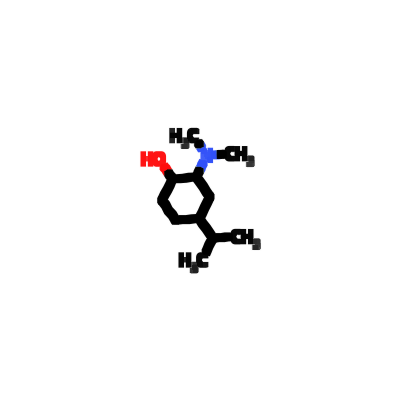 CC(C)C1CCC(O)C(N(C)C)C1